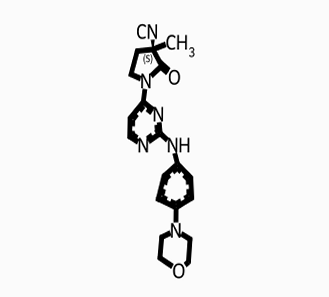 C[C@@]1(C#N)CCN(c2ccnc(Nc3ccc(N4CCOCC4)cc3)n2)C1=O